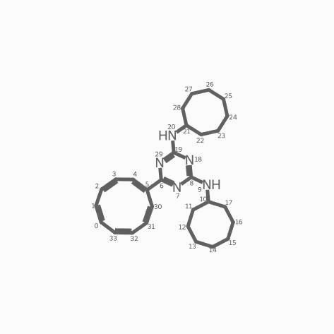 c1ccccc(-c2nc(NC3CCCCCCC3)nc(NC3CCCCCCC3)n2)cccc1